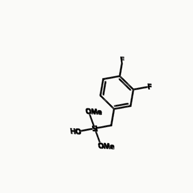 CO[Si](O)(Cc1ccc(F)c(F)c1)OC